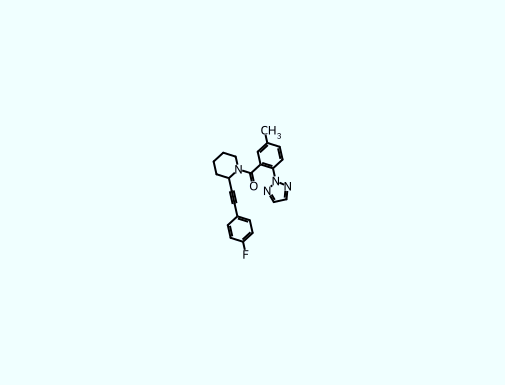 Cc1ccc(-n2nccn2)c(C(=O)N2CCCCC2C#Cc2ccc(F)cc2)c1